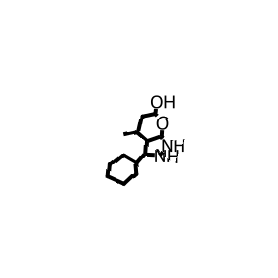 CC1CC(O)OC2NNC(C3CCCCC3)C12